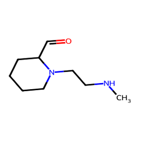 CNCCN1CCCCC1C=O